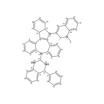 CN1CC(N2C3=C(c4ccccc4N(C4Nc5ccccc5C(c5ccccc5)N4)c4ccccc43)C3C=CC=CC32)=Cc2ccccc21